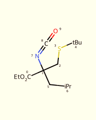 CCOC(=O)C(CSC(C)(C)C)(CC(C)C)N=C=O